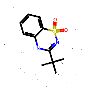 CC(C)(C)C1=NS(=O)(=O)c2ccccc2N1